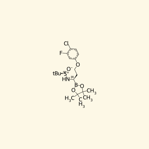 CC(C)(C)[S@@+]([O-])N[C@@H](CCOc1ccc(Cl)c(F)c1)B1OC(C)(C)C(C)(C)O1